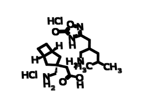 CC(C)CC(CN)Cc1noc(=O)[nH]1.Cl.Cl.NC[C@@]1(CC(=O)O)C[C@H]2CC[C@H]2C1